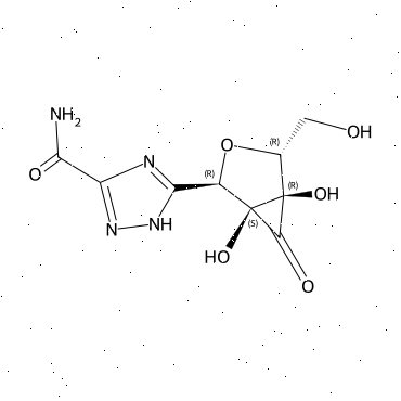 NC(=O)c1n[nH]c([C@H]2O[C@H](CO)[C@]3(O)C(=O)[C@]23O)n1